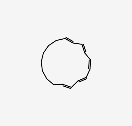 [C]1=C/C=C/C=C\C=C\C=C\CCCCCCC/1